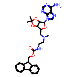 CN(CCNC(=O)OCC1c2ccccc2-c2ccccc21)CC1OC(n2cnc3c(N)ncnc32)C2OC(C)(C)OC12